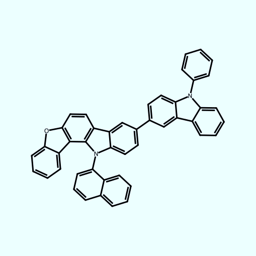 c1ccc(-n2c3ccccc3c3cc(-c4ccc5c(c4)c4ccc6oc7ccccc7c6c4n5-c4cccc5ccccc45)ccc32)cc1